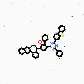 c1ccc(-c2nc(-c3ccc4c(c3)sc3ccccc34)nc(-c3ccc(C4CCc5cc6ccccc6cc5-c5ccccc54)c4oc5ccccc5c34)n2)cc1